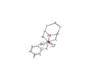 CC(C)(C)C(=O)N1C2CCCC1CN(Cc1ccccc1)C2